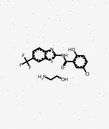 NCCO.O=C(Nc1nc2ccc(C(F)(F)F)cc2s1)c1cc(Cl)ccc1O